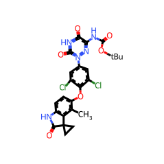 Cc1c(Oc2c(Cl)cc(-n3nc(NC(=O)OC(C)(C)C)c(=O)[nH]c3=O)cc2Cl)ccc2c1C1(CC1)C(=O)N2